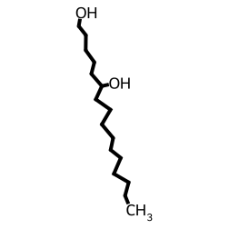 CCCCCCCCCCC(O)CCCCCO